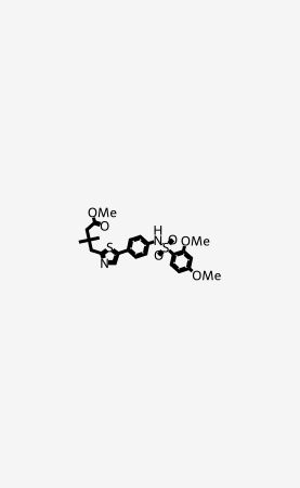 COC(=O)CC(C)(C)Cc1ncc(-c2ccc(NS(=O)(=O)c3ccc(OC)cc3OC)cc2)s1